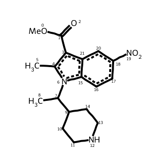 COC(=O)c1c(C)n(C(C)C2CCNCC2)c2ccc([N+](=O)[O-])cc12